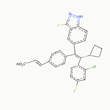 O=C(O)C=Cc1ccc(C(=C(c2ccc(F)cc2Cl)C2CCC2)c2ccc3[nH]nc(F)c3c2)cc1